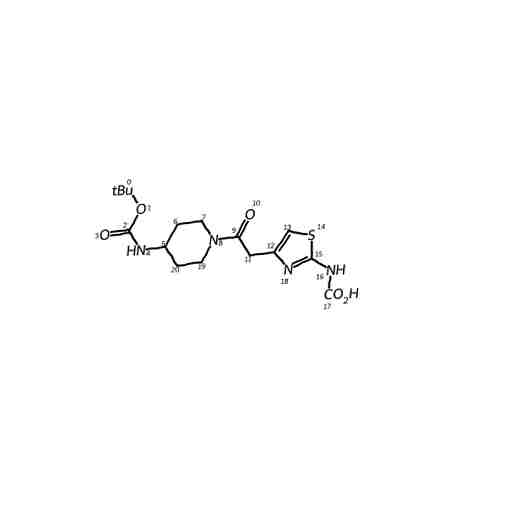 CC(C)(C)OC(=O)NC1CCN(C(=O)Cc2csc(NC(=O)O)n2)CC1